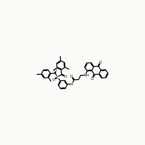 Cc1ccc(C(=O)P(=O)(C(=O)c2c(C)cc(C)cc2C)c2cccc(OC(=O)CCNc3cccc4c3C(=O)c3ccccc3C4=O)c2)c(C)c1